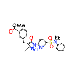 CCN(c1ccccc1)S(=O)(=O)c1ccc(-n2[nH]c(C)c(Cc3cccc(C(=O)OC)c3)c2=O)nc1